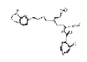 CCOCCN(CCCCc1ccc2c(n1)NCCC2)CC[C@H](NC(=O)c1ncncc1Cl)C(=O)O